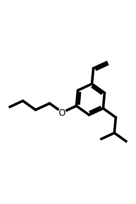 C=Cc1cc(CC(C)C)cc(OCCCC)c1